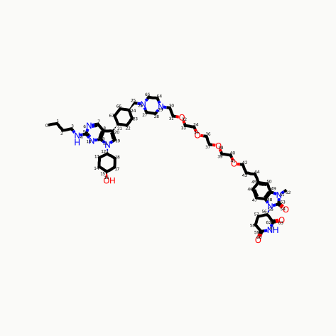 CCCCNc1ncc2c(n1)n([C@H]1CC[C@H](O)CC1)cc2[C@H]1CC[C@H](CN2CCN(CCOCCOCCOCCOCCCc3ccc4c(c3)n(C)c(=O)n4[C@H]3CCC(=O)NC3=O)CC2)CC1